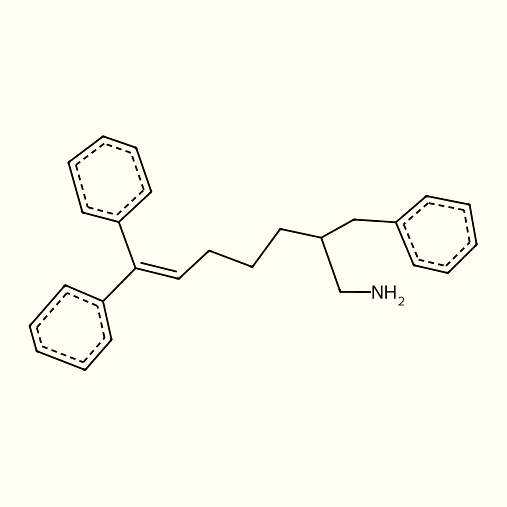 NCC(CCCC=C(c1ccccc1)c1ccccc1)Cc1ccccc1